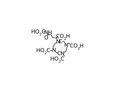 O=C(O)CN1CCN(CC(=O)O)CCN(C(CCC(=O)NC(=O)O)C(=O)O)CCN(CC(=O)O)CC1